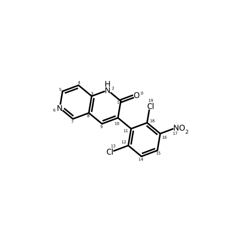 O=c1[nH]c2ccncc2cc1-c1c(Cl)ccc([N+](=O)[O-])c1Cl